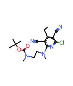 CCc1c(C#N)c(Cl)nc(N(C)CCN(C)C(=O)OC(C)(C)C)c1C#N